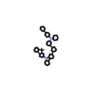 CC1(C)c2ccccc2-c2ccc(-n3c4ccccc4c4ccc(-c5cccc(-c6cccc(N(c7ccccc7)c7ccc(-c8ccccc8)cc7)c6)c5)cc43)cc21